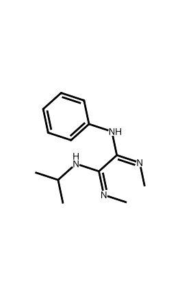 C/N=C(Nc1ccccc1)\C(=N/C)NC(C)C